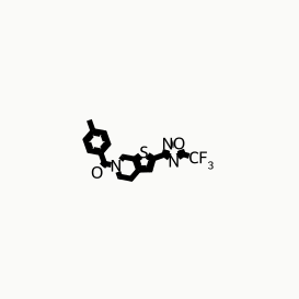 Cc1ccc(C(=O)N2CCc3cc(-c4noc(C(F)(F)F)n4)sc3C2)cc1